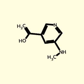 C=C(O)c1cncc(NC)c1